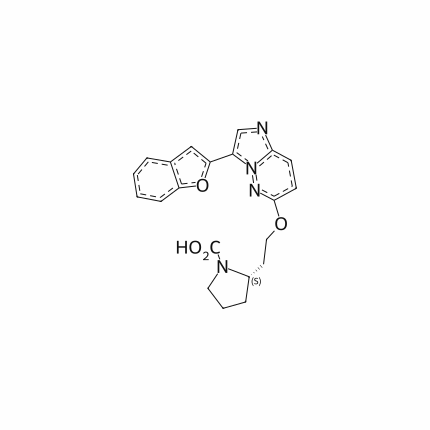 O=C(O)N1CCC[C@H]1CCOc1ccc2ncc(-c3cc4ccccc4o3)n2n1